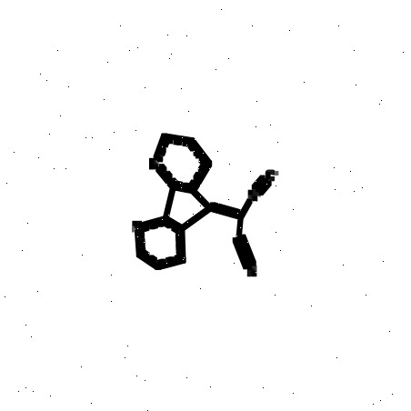 [C-]#[N+]C(C#N)=C1c2cccnc2-c2ncccc21